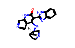 O=c1[nH]c2cnccc2c(N[C@H]2CN3CCC2CC3)c1-c1nc2ccccc2[nH]1